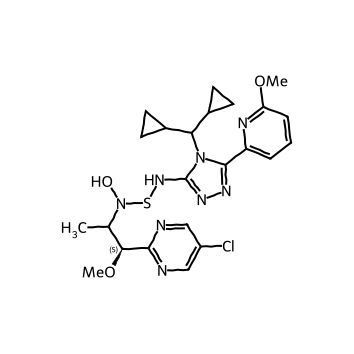 COc1cccc(-c2nnc(NSN(O)C(C)[C@H](OC)c3ncc(Cl)cn3)n2C(C2CC2)C2CC2)n1